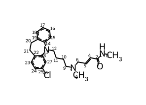 CNC(=O)/C=C/CN(C)CCCCN1c2ccccc2CCc2ccc(Cl)cc21